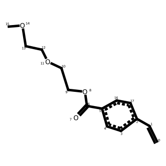 C=Cc1ccc(C(=O)OCCOCCOC)cc1